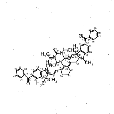 CCN1C(=O)C(C2=C(C=CC3=[N+](C)c4ccc(C(=O)c5ccccc5)cc4C3(C)C)CCCC2=CCC2N(C)c3ccc(C(=O)c4ccccc4)cc3C2(C)C)C(O)N(CC)C1=S